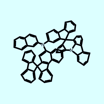 c1ccc2c(c1)-c1ccccc1C21c2ccccc2-c2c1cc(N(c1ccc3c(c1)C1(c4ccccc4-3)c3ccccc3-n3c4ccccc4c4cccc1c43)c1ccc3ccccc3c1)c1ccccc21